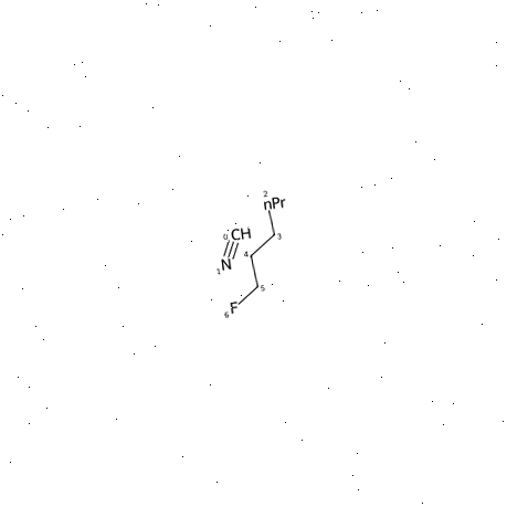 C#N.CCCCCCF